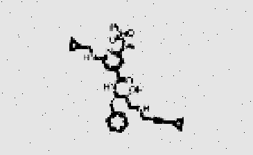 CC(C)S(=O)(=O)N(C)c1cc(C(=O)N[C@@H](Cc2ccccc2)[C@H](O)CNCC#CC2CC2)cc(NCC2CC2)n1